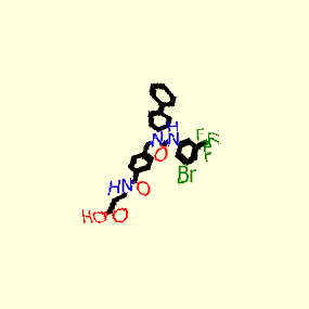 O=C(O)CCNC(=O)c1ccc(CN(C(=O)Nc2cc(Br)cc(C(F)(F)F)c2)C2CCC(C3CCCCC3)CC2)cc1